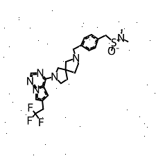 CN(C)[S+]([O-])Cc1ccc(CN2CCC3(CCN(c4ncnn5cc(CC(F)(F)F)cc45)C3)C2)cc1